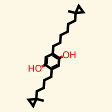 CC1(CCCCCCc2cc(O)c(CCCCC3(C)CC3)cc2O)CC1